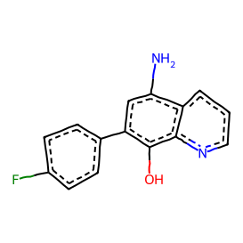 Nc1cc(-c2ccc(F)cc2)c(O)c2ncccc12